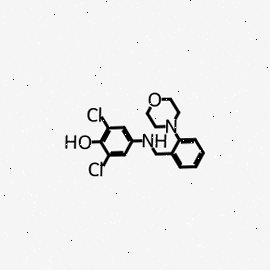 Oc1c(Cl)cc(NCc2ccccc2N2CCOCC2)cc1Cl